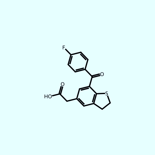 O=C(O)Cc1cc2c(c(C(=O)c3ccc(F)cc3)c1)SCC2